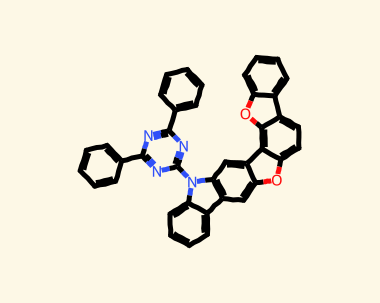 c1ccc(-c2nc(-c3ccccc3)nc(-n3c4ccccc4c4cc5oc6ccc7c8ccccc8oc7c6c5cc43)n2)cc1